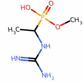 COP(=O)(O)C(C)NC(=N)N